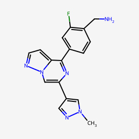 Cn1cc(-c2cn3nccc3c(-c3ccc(CN)c(F)c3)n2)cn1